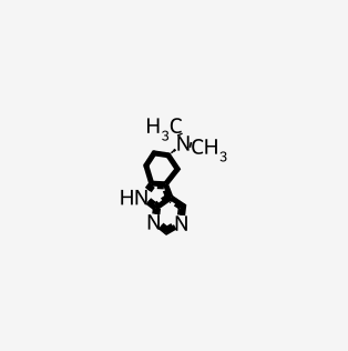 CN(C)[C@H]1CCc2[nH]c3ncncc3c2C1